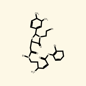 CCC1=C(OC(=O)/C=C\C(C)CCN(CC)C(=O)CC2SC(C3=CC(C)C(C)C=C3)N(CCC(C)C)C2=O)C=CCC1